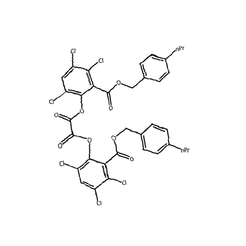 CCCc1ccc(COC(=O)c2c(Cl)c(Cl)cc(Cl)c2OC(=O)C(=O)Oc2c(Cl)cc(Cl)c(Cl)c2C(=O)OCc2ccc(CCC)cc2)cc1